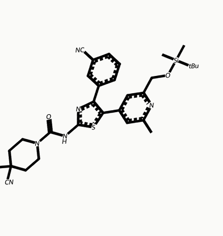 Cc1cc(-c2sc(NC(=O)N3CCC(C)(C#N)CC3)nc2-c2cccc(C#N)c2)cc(CO[Si](C)(C)C(C)(C)C)n1